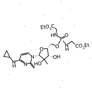 C=C1N=C(NC2CC2)C=CN1[C@@H]1O[C@H](COP(=O)(NCC(=O)OCC)NCC(=O)OCC)[C@H](O)C1(C)O